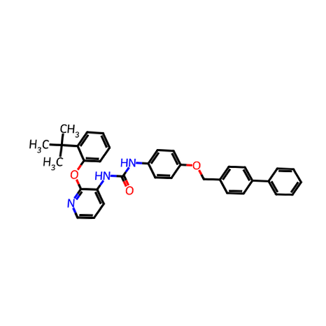 CC(C)(C)c1ccccc1Oc1ncccc1NC(=O)Nc1ccc(OCc2ccc(-c3ccccc3)cc2)cc1